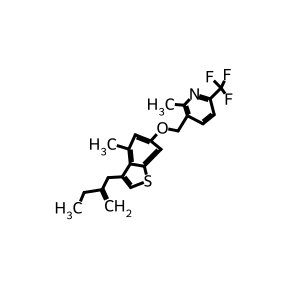 C=C(CC)Cc1csc2cc(OCc3ccc(C(F)(F)F)nc3C)cc(C)c12